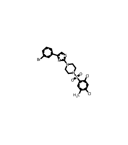 Cc1cc(S(=O)(=O)N2CCN(c3nc(-c4cccc(Br)c4)cs3)CC2)c(Cl)cc1Cl